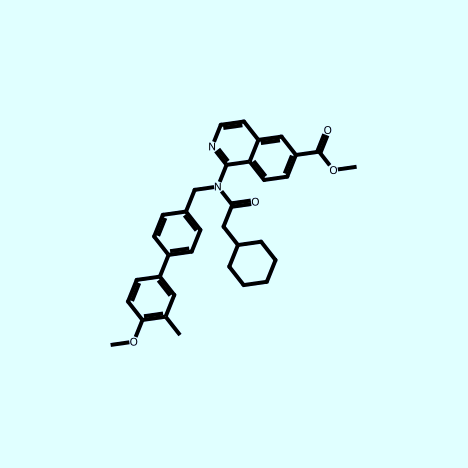 COC(=O)c1ccc2c(N(Cc3ccc(-c4ccc(OC)c(C)c4)cc3)C(=O)CC3CCCCC3)nccc2c1